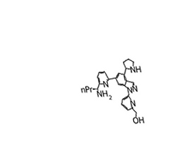 CCC[C@H](N)c1cccc(-c2cc(C3CCCN3)c3cnn(-c4cccc(CO)n4)c3c2)n1